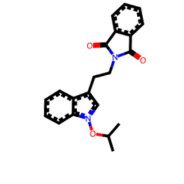 CC(C)On1cc(CCN2C(=O)c3ccccc3C2=O)c2ccccc21